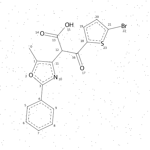 Cc1oc(-c2ccccc2)nc1C(C(=O)O)C(=O)c1ccc(Br)s1